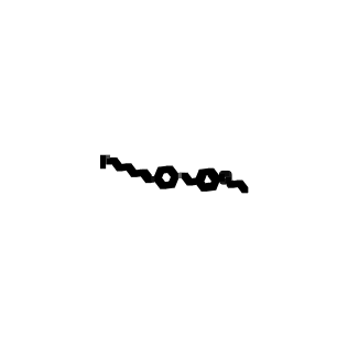 CCCOc1ccc(CC[C@H]2CC[C@H](C=CCCCCF)CC2)cc1